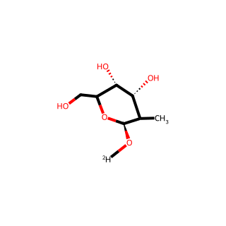 [2H]O[C@H]1OC(CO)[C@H](O)[C@H](O)C1C